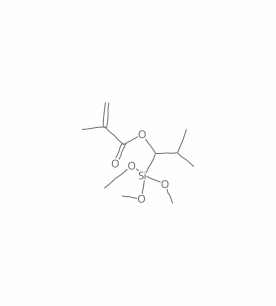 C=C(C)C(=O)OC(C(C)C)[Si](OC)(OC)OC